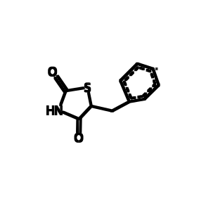 O=C1NC(=O)C(Cc2cc[c]cc2)S1